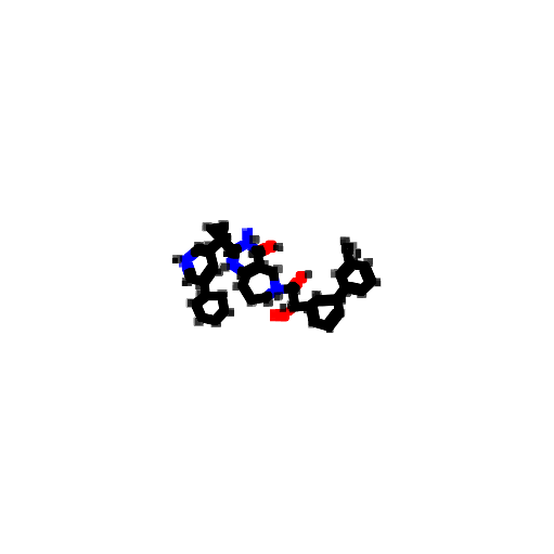 O=C([C@H](O)c1cccc(-c2cccc(C(F)(F)F)c2)c1)N1CCCc2nc(C3(c4cncc(C5CCCCC5)c4)CC3)[nH]c(=O)c2C1